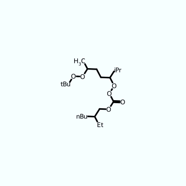 CCCCC(CC)COC(=O)OOC(CCC(C)OOC(C)(C)C)C(C)C